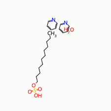 CCCCCCCCCCCCOS(=O)(=O)O.O.c1ccncc1.c1ccncc1